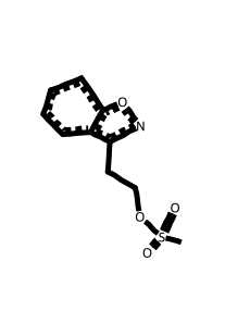 CS(=O)(=O)OCCc1noc2ccccc12